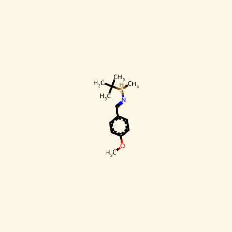 COc1ccc(/C=N/[SH](C)C(C)(C)C)cc1